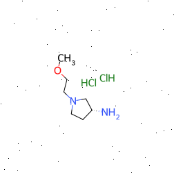 COCCN1CC[C@@H](N)C1.Cl.Cl